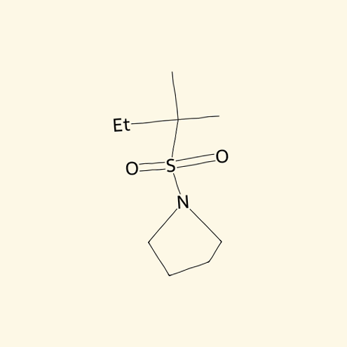 CCC(C)(C)S(=O)(=O)N1CCCC1